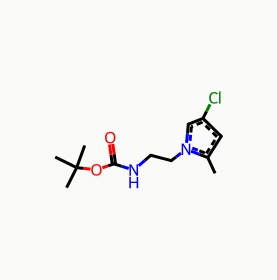 Cc1cc(Cl)cn1CCNC(=O)OC(C)(C)C